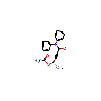 CC(=O)O[C@@H](C)C#CC(=O)N(c1ccccc1)c1ccccc1